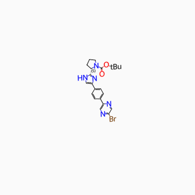 CC(C)(C)OC(=O)N1CCC[C@H]1c1nc(-c2ccc(-c3cnc(Br)cn3)cc2)c[nH]1